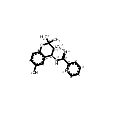 CC1(C)Oc2ccc(C#N)cc2[C@H](N/C(=N\C#N)c2ccccn2)[C@H]1O